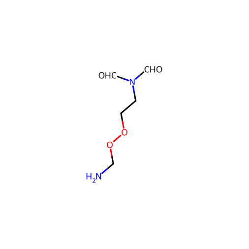 NCOOCCN(C=O)C=O